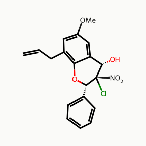 C=CCc1cc(OC)cc2c1O[C@@H](c1ccccc1)[C@](Cl)([N+](=O)[O-])[C@H]2O